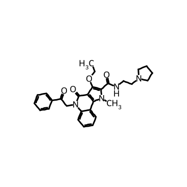 CCOc1c(C(=O)NCCN2CCCC2)n(C)c2c1c(=O)n(CC(=O)c1ccccc1)c1ccccc21